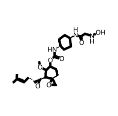 COC1C(OC(=O)N[C@H]2CC[C@H](NC(=O)CNO)CC2)CC[C@]2(CO2)C1[C@H]1O[C@@H]1CC=C(C)C